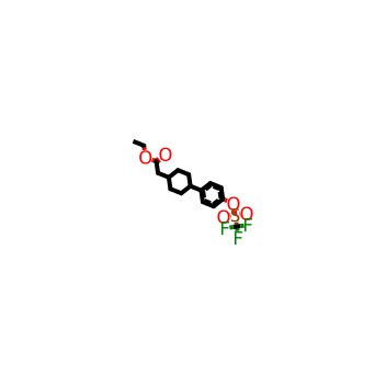 CCOC(=O)CC1CCC(c2ccc(OS(=O)(=O)C(F)(F)F)cc2)CC1